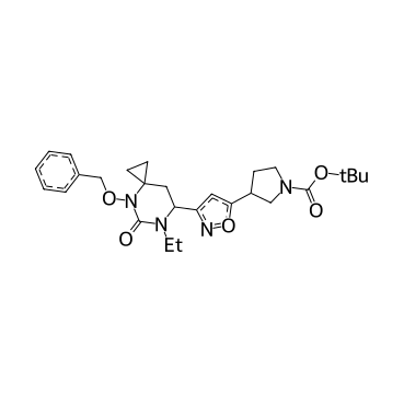 CCN1C(=O)N(OCc2ccccc2)C2(CC2)CC1c1cc(C2CCN(C(=O)OC(C)(C)C)C2)on1